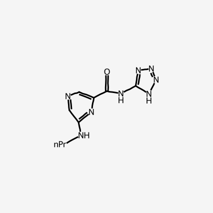 CCCNc1cncc(C(=O)Nc2nnn[nH]2)n1